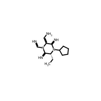 CC[C@@H]1C(=N)N(C=N)/C(=C/N)C(=N)N1C1CCCC1